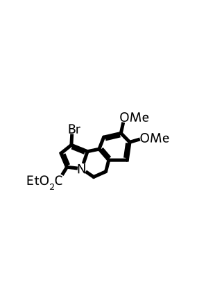 CCOC(=O)c1cc(Br)c2n1CCc1cc(OC)c(OC)cc1-2